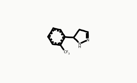 FC(F)(F)c1ccccc1C1CC=NN1